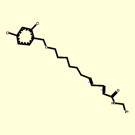 CC(C)CNC(=O)/C=C/C=C/CCCCCCOCc1ccc(Cl)cc1Cl